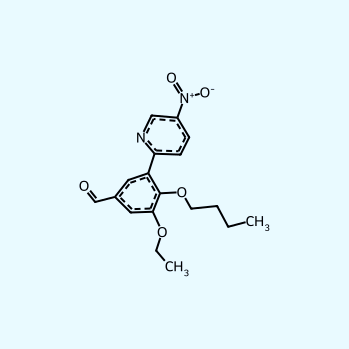 CCCCOc1c(OCC)cc(C=O)cc1-c1ccc([N+](=O)[O-])cn1